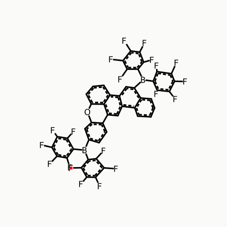 Fc1c(F)c(F)c(B(c2ccc3c(c2)Oc2cccc4c2c-3cc2c3ccccc3c(B(c3c(F)c(F)c(F)c(F)c3F)c3c(F)c(F)c(F)c(F)c3F)cc42)c2c(F)c(F)c(F)c(F)c2F)c(F)c1F